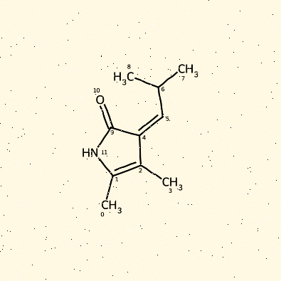 CC1=C(C)/C(=C/C(C)C)C(=O)N1